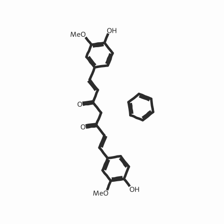 COc1cc(/C=C/C(=O)CC(=O)/C=C/c2ccc(O)c(OC)c2)ccc1O.c1ccccc1